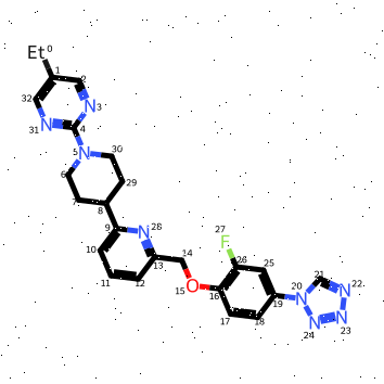 CCc1cnc(N2CCC(c3cccc(COc4ccc(-n5cnnn5)cc4F)n3)CC2)nc1